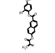 C=C(F)C(=O)Oc1ccc2cc(C(=O)Oc3ccc(O)cc3CC)ccc2c1